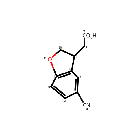 N#Cc1ccc2c(c1)C(CC(=O)O)CO2